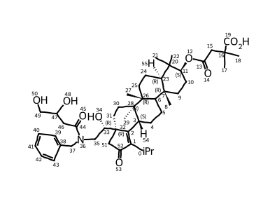 CC(C)C1=C2[C@H]3CCC4[C@@]5(C)CC[C@H](OC(=O)CC(C)(C)C(=O)O)C(C)(C)[C@@H]5CC[C@@]4(C)[C@]3(C)CC[C@@]2([C@@H](O)CN(Cc2ccccc2)C(=O)CC(O)CO)CC1=O